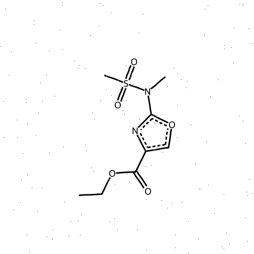 CCOC(=O)c1coc(N(C)S(C)(=O)=O)n1